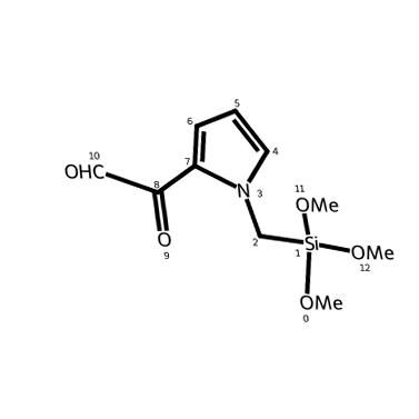 CO[Si](Cn1cccc1C(=O)C=O)(OC)OC